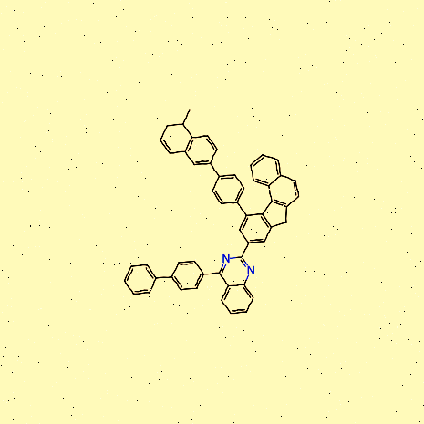 CC1CC=Cc2cc(-c3ccc(-c4cc(-c5nc(-c6ccc(-c7ccccc7)cc6)c6ccccc6n5)cc5c4-c4c(ccc6ccccc46)C5)cc3)ccc21